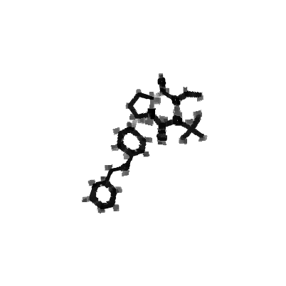 CCOC(=O)[C@H]1CC[C@@H](c2ccc(OCc3ccccc3)cc2)N1C(=O)OC(C)(C)C